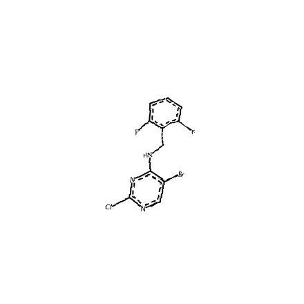 Fc1cccc(F)c1CNc1nc(Cl)ncc1Br